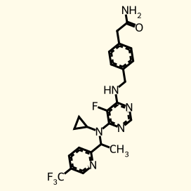 CC(c1ccc(C(F)(F)F)cn1)N(c1ncnc(NCc2ccc(CC(N)=O)cc2)c1F)C1CC1